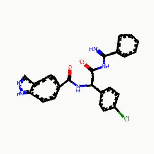 N=C(NC(=O)C(NC(=O)c1ccc2[nH]ncc2c1)c1ccc(Cl)cc1)c1ccccc1